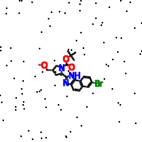 COCC1CC(c2nc3ccc4cc(Br)ccc4c3[nH]2)N(C(=O)OC(C)(C)C)C1